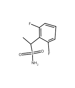 CC(c1c(F)cccc1F)S(N)(=O)=O